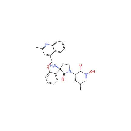 Cc1cc(COc2ccccc2[C@]2(N)CCN([C@H](CC(C)C)C(=O)NO)C2=O)c2ccccc2n1